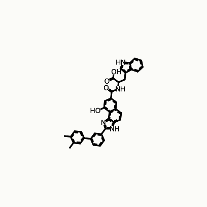 Cc1ccc(-c2cccc(-c3nc4c(ccc5cc(C(=O)NC(Cc6c[nH]c7ccccc67)C(=O)O)cc(O)c54)[nH]3)c2)cc1C